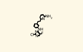 NC1=NC(CCc2cccc(Nc3nc(Cl)ncc3F)c2)CC=C1